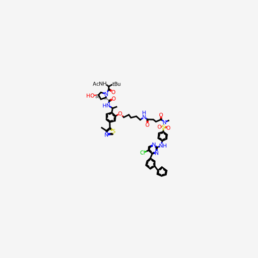 CC(=O)NC(C(=O)N1C[C@H](O)C[C@H]1C(=O)NC(C)c1ccc(-c2scnc2C)cc1OCCCCCNC(=O)CCC(=O)N(C)S(=O)(=O)c1ccc(Nc2ncc(Cl)c(-c3cccc(-c4ccccc4)c3)n2)cc1)C(C)(C)C